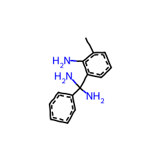 Cc1cccc(C(N)(N)c2ccccc2)c1N